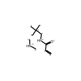 C=CC(=O)NCC(C)(C)C.CNC